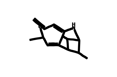 C=C/C=C1/NC2C(C)C(/C1=C/C(C)Cl)C2C